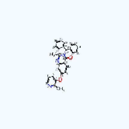 Cc1ncccc1Oc1ccc2c(=O)n(C(c3ccccc3)c3ccccc3)c(C)nc2c1